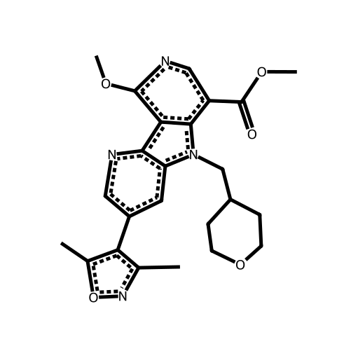 COC(=O)c1cnc(OC)c2c3ncc(-c4c(C)noc4C)cc3n(CC3CCOCC3)c12